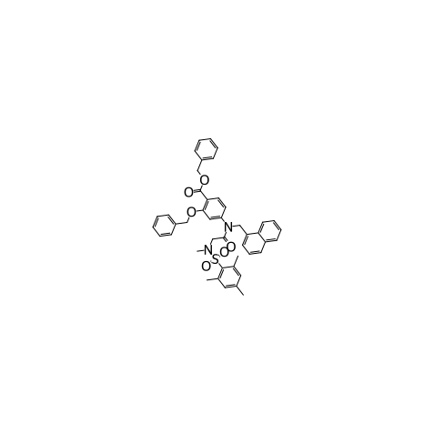 Cc1cc(C)c(S(=O)(=O)N(C)CC(=O)N(Cc2cccc3ccccc23)c2ccc(C(=O)OCc3ccccc3)c(OCc3ccccc3)c2)c(C)c1